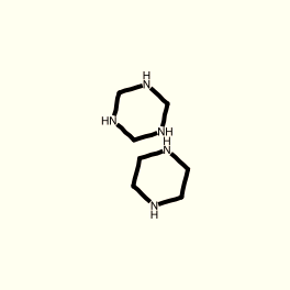 C1CNCCN1.C1NCNCN1